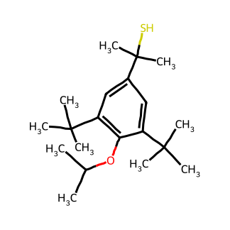 CC(C)Oc1c(C(C)(C)C)cc(C(C)(C)S)cc1C(C)(C)C